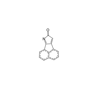 O=C1C=C2C(=N1)c1cccc3cccc2c13